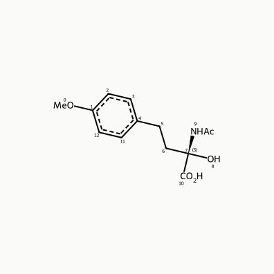 COc1ccc(CC[C@@](O)(NC(C)=O)C(=O)O)cc1